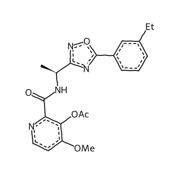 CCc1cccc(-c2nc([C@H](C)NC(=O)c3nccc(OC)c3OC(C)=O)no2)c1